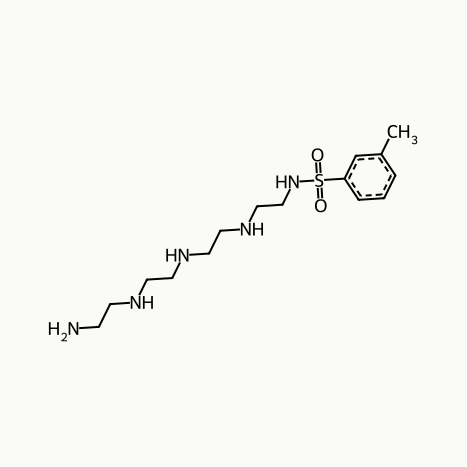 Cc1cccc(S(=O)(=O)NCCNCCNCCNCCN)c1